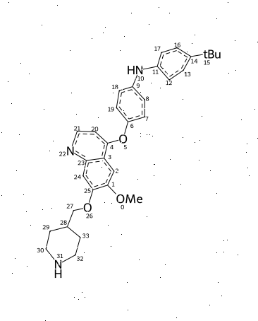 COc1cc2c(Oc3ccc(Nc4ccc(C(C)(C)C)cc4)cc3)ccnc2cc1OCC1CCNCC1